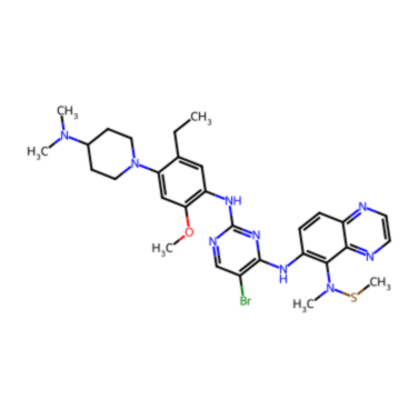 CCc1cc(Nc2ncc(Br)c(Nc3ccc4nccnc4c3N(C)SC)n2)c(OC)cc1N1CCC(N(C)C)CC1